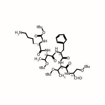 CC(OC(C)(C)C)[C@H](NC(=O)[C@H](Cc1ccccc1)NC(=O)[C@@H](NC(=O)[C@H](CCCCN)NC(=O)OC(C)(C)C)C(C)OC(C)(C)C)C(=O)N[C@H]([C]=O)COC(C)(C)C